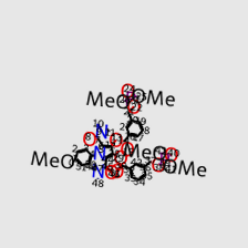 COc1ccc(-n2c(C(=O)N(C)C)c(OC(=O)c3cccc(COP(=O)(OC)OC)c3)c(OC(=O)c3cccc(COP(=O)(OC)OC)c3)c2C(=O)N(C)C)cc1